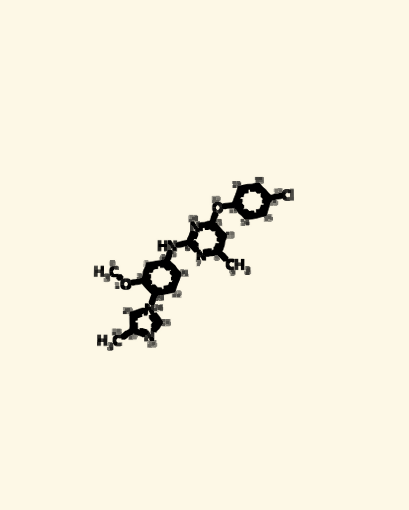 COc1cc(Nc2nc(C)cc(Oc3ccc(Cl)cc3)n2)ccc1-n1cnc(C)c1